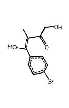 CC(C(=O)CO)=C(O)c1ccc(Br)cc1